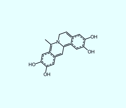 CC1=c2cc(O)c(O)cc2=CC2=c3cc(O)c(O)cc3=CCN12